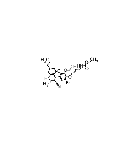 CCCC1CC(=O)C2=C(C1)NC(C)=C(C#N)C2c1cc(Br)c(OCC=CCNC(=O)OCC)c(OCC)c1